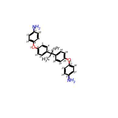 CCCC(C)(c1ccc(Oc2ccc(N)cc2)cc1)c1ccc(Oc2ccc(N)cc2)cc1